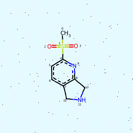 CS(=O)(=O)c1ccc2c(n1)CNC2